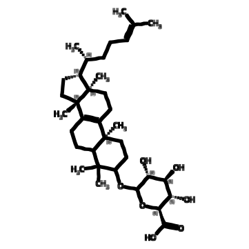 CC(C)=CCC[C@@H](C)[C@H]1CC[C@@]2(C)C3=C(CC[C@]12C)[C@@]1(C)CCC(OC2O[C@H](C(=O)O)[C@@H](O)[C@H](O)[C@H]2O)C(C)(C)C1CC3